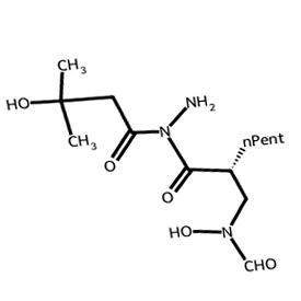 CCCCC[C@H](CN(O)C=O)C(=O)N(N)C(=O)CC(C)(C)O